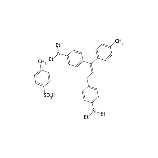 CCN(CC)c1ccc(CC=C(c2ccc(C)cc2)c2ccc(N(CC)CC)cc2)cc1.Cc1ccc(S(=O)(=O)O)cc1